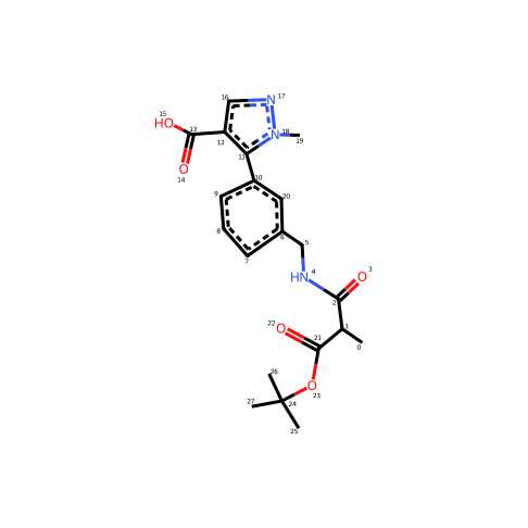 CC(C(=O)NCc1cccc(-c2c(C(=O)O)cnn2C)c1)C(=O)OC(C)(C)C